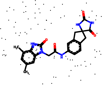 Cc1cc(C)c2[nH]c(=O)n(CC(=O)Nc3ccc4c(c3)CC3(C4)NC(=O)NC3=O)c2c1